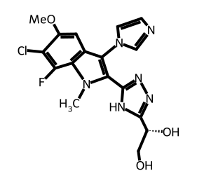 COc1cc2c(-n3ccnc3)c(-c3nnc([C@H](O)CO)[nH]3)n(C)c2c(F)c1Cl